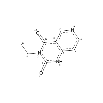 CCn1c(=O)[nH]c2ccncc2c1=O